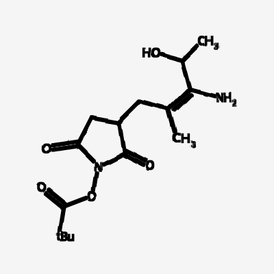 C/C(CC1CC(=O)N(OC(=O)C(C)(C)C)C1=O)=C(\N)C(C)O